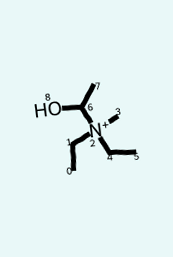 CC[N+](C)(CC)C(C)O